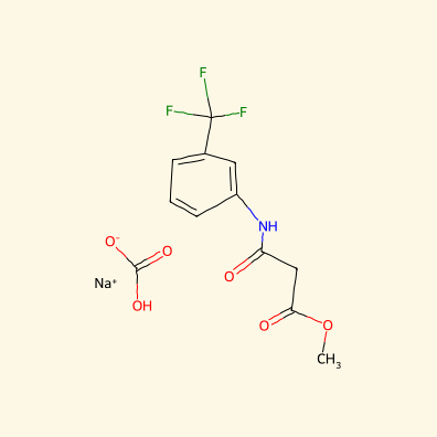 COC(=O)CC(=O)Nc1cccc(C(F)(F)F)c1.O=C([O-])O.[Na+]